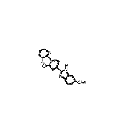 COc1ccc2nc(-c3ccc(-c4ncccc4C(F)(F)F)c(Cl)c3)[nH]c2c1